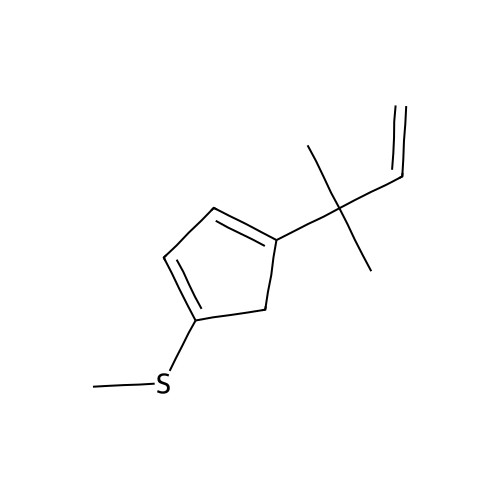 C=CC(C)(C)C1=CC=C(SC)C1